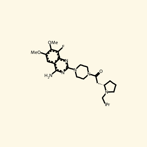 COc1cc2c(N)nc(N3CCN(C(=O)C[C@@H]4CCCN4CC(C)C)CC3)nc2c(F)c1OC